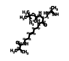 CC(=N)NC[C@@H](NC(=O)OC(C)(C)C)C(=O)NCCC=CCCNC(=O)C(C)C